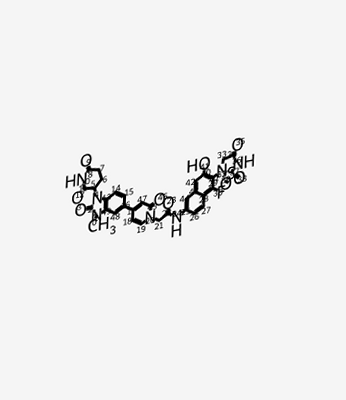 Cn1c(=O)n(C2CCC(=O)NC2=O)c2ccc(-c3ccn(CC(=O)Nc4ccc5c(F)c(N6CC(=O)NS6(=O)=O)c(O)cc5c4)c(=O)c3)cc21